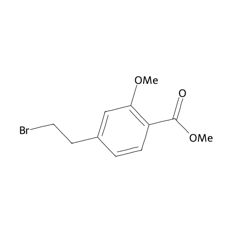 COC(=O)c1ccc(CCBr)cc1OC